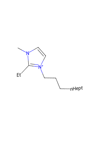 CCCCCCCCCC[n+]1ccn(C)c1CC